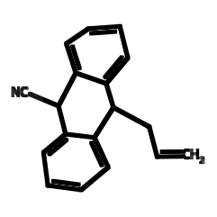 C=CCC1c2ccccc2C(C#N)c2ccccc21